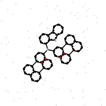 c1ccc(-c2cccc3cccc(-c4ccc(N(c5cccc(-c6cccc7cccc(-c8ccccc8)c67)c5)c5cccc6c5sc5ccccc56)cc4)c23)cc1